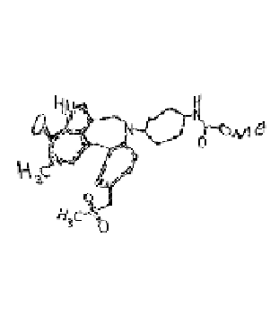 COC(=O)NC1CCC(N2Cc3c[nH]c4c(=O)n(C)cc(c34)-c3cc(CS(C)(=O)=O)ccc32)CC1